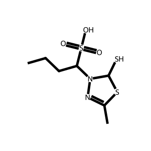 CCCC(N1N=C(C)SC1S)S(=O)(=O)O